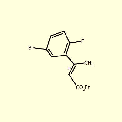 CCOC(=O)/C=C(\C)c1cc(Br)ccc1F